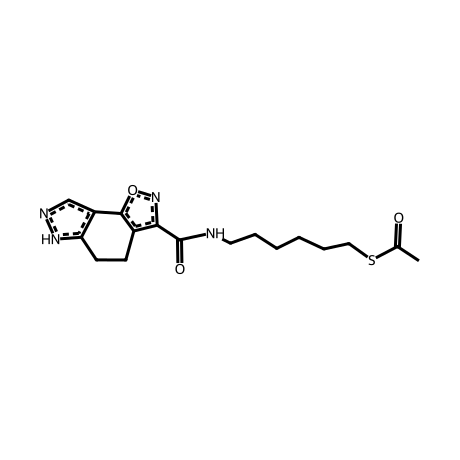 CC(=O)SCCCCCCNC(=O)c1noc2c1CCc1[nH]ncc1-2